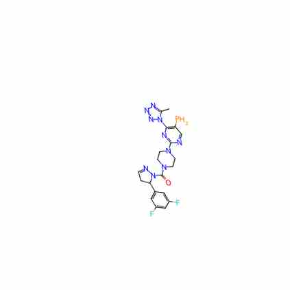 Cc1nnnn1-c1nc(N2CCN(C(=O)N3N=CCC3c3cc(F)cc(F)c3)CC2)ncc1P